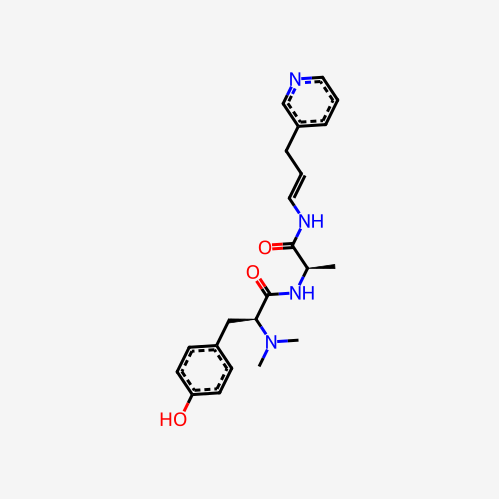 C[C@@H](NC(=O)[C@H](Cc1ccc(O)cc1)N(C)C)C(=O)N/C=C/Cc1cccnc1